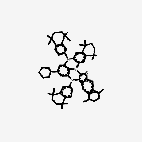 CC1(C)CCC(C)(C)c2cc(N3c4cc5c(cc4B4c6sc7cc8c(cc7c6N(c6ccc7c(c6)C(C)(C)CCC7(C)C)c6cc(C7CCCCC7)cc3c64)C3(C)CCC8(C)CC3)C(C)(C)CCC5(C)C)ccc21